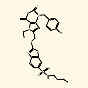 C=C1NC(=O)N(Cc2ccc(Cl)cc2)c2nc(CSc3nc4ccc(S(=O)(=O)NCCCC)cc4[nH]3)n(CC)c21